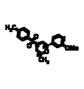 COc1cc([C@H]2CN(S(=O)(=O)c3ccc(C)cc3)C[C@@H](C)O2)ccn1